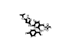 CC(C)Oc1cc(Nc2nc(NC(C)c3ccc(F)cc3)c(CNS(C)(=O)=O)cc2F)n[nH]1